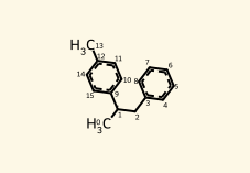 C[C](Cc1ccccc1)c1ccc(C)cc1